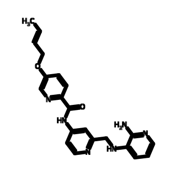 C/C=C/COc1ccc(C(=O)Nc2ccnc(CNc3cccnc3N)c2)nc1